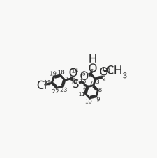 COC=C(C(=O)O)c1ccccc1CSC(=O)c1ccc(Cl)cc1